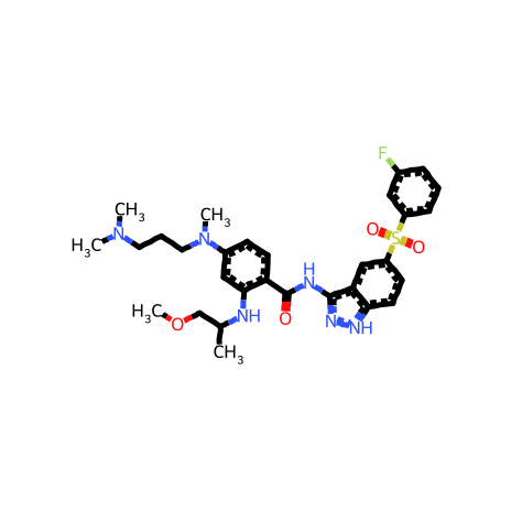 COCC(C)Nc1cc(N(C)CCCN(C)C)ccc1C(=O)Nc1n[nH]c2ccc(S(=O)(=O)c3cccc(F)c3)cc12